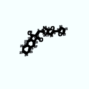 O=C1C(=Cc2nc3oc(-c4ccco4)cc3s2)C(=O)c2cc3ccccc3cc21